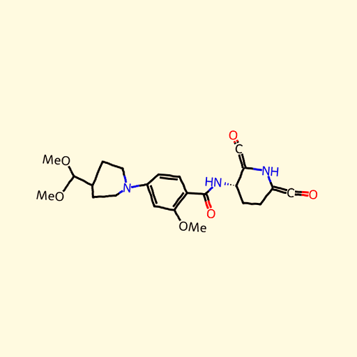 COc1cc(N2CCC(C(OC)OC)CC2)ccc1C(=O)N[C@H]1CCC(=C=O)NC1=C=O